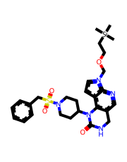 C[Si](C)(C)CCOCn1ccc2c3c(cnc21)CNC(=O)N3C1CCN(S(=O)(=O)Cc2ccccc2)CC1